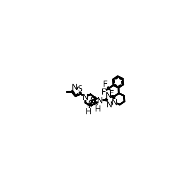 Cc1cc(N2C[C@@H]3CC[C@]4(C2)[C@H]3N4c2nc3n(n2)CCCC3c2ccccc2C(F)(F)F)sn1